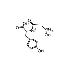 CC(=O)NC(Cc1ccc(O)cc1)C(=O)O.C[SiH2]O